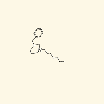 CCCCCCCN1CCCC(Cc2ccccc2)C1